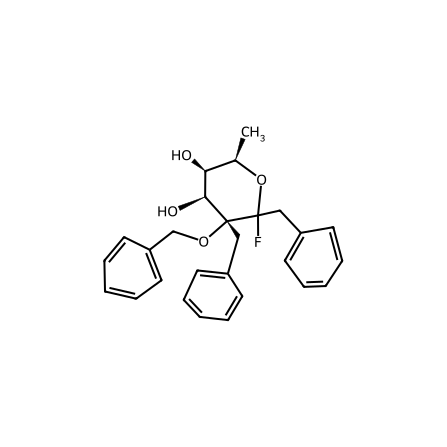 C[C@H]1OC(F)(Cc2ccccc2)[C@](Cc2ccccc2)(OCc2ccccc2)[C@@H](O)[C@H]1O